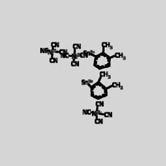 Cc1ccc[c]([Sn+3])c1C.Cc1ccc[c]([Sn+3])c1C.N#[C][Ni-2]([C]#N)([C]#N)[C]#N.N#[C][Ni-2]([C]#N)([C]#N)[C]#N.N#[C][Ni-2]([C]#N)([C]#N)[C]#N